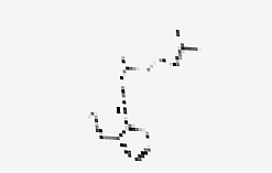 CC(C)=CCCC(C)CCOc1ccccc1C=O